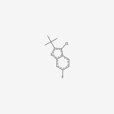 CC(C)(C)c1sc2cc(F)ccc2c1Cl